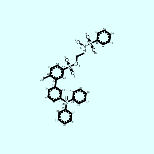 O=S(=O)(OCC[NH+]([O-])S(=O)(=O)c1ccccc1)c1ccc(I)c(-c2cccc([SH](c3ccccc3)c3ccccc3)c2)c1